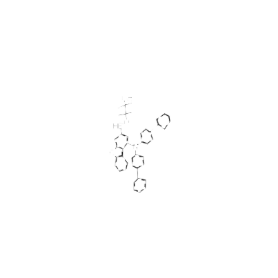 CC(C)(O)C(C)(C)OBc1cc(N(c2ccc(-c3ccccc3)cc2)c2ccc(-c3ccccc3)cc2)c2c(c1)oc1ccccc12